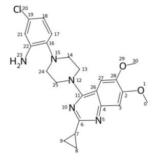 COc1cc2nc(C3CC3)nc(N3CCN(c4ccc(Cl)cc4N)CC3)c2cc1OC